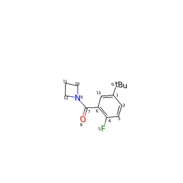 CC(C)(C)c1ccc(F)c(C(=O)N2CCC2)c1